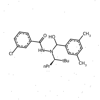 CCC[C@@H](N(NC(=O)c1cccc(Cl)c1)C(O)c1cc(C)cc(C)c1)C(C)(C)C